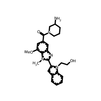 COc1cc(C(=O)N2CCCC(N)C2)cc2nc(-c3cc4ccccc4n3CCO)n(C)c12